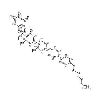 CCCCCCCc1ccc(-c2ccc(-c3ccc(-c4cc(F)c(C(F)(F)Oc5cc(F)c(F)c(F)c5)c(F)c4)c(F)c3)cc2)cc1